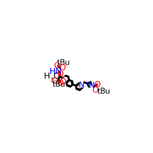 CC(C)(C)OC(=O)NO[C@](C)(C(=O)OC(C)(C)C)[C@H]1CCc2cc(-c3ccc[n+](CC4CN(C(=O)OC(C)(C)C)C4)c3)ccc2O1